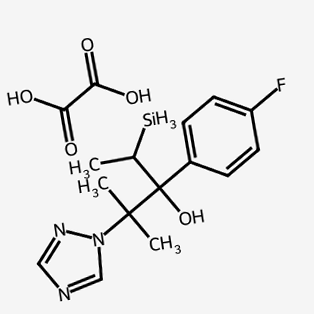 CC([SiH3])C(O)(c1ccc(F)cc1)C(C)(C)n1cncn1.O=C(O)C(=O)O